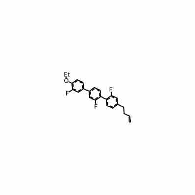 C=CCCc1ccc(-c2ccc(-c3ccc(OCC)c(F)c3)cc2F)c(F)c1